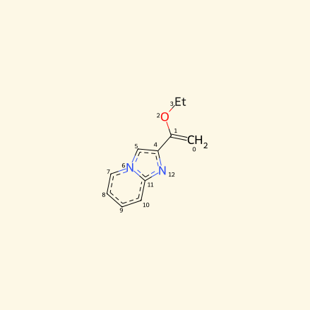 C=C(OCC)c1cn2ccccc2n1